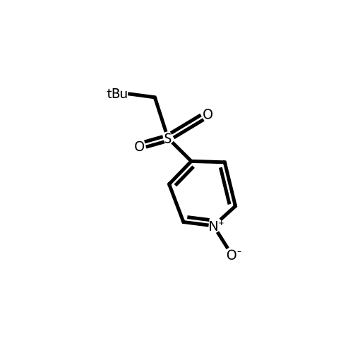 CC(C)(C)CS(=O)(=O)c1cc[n+]([O-])cc1